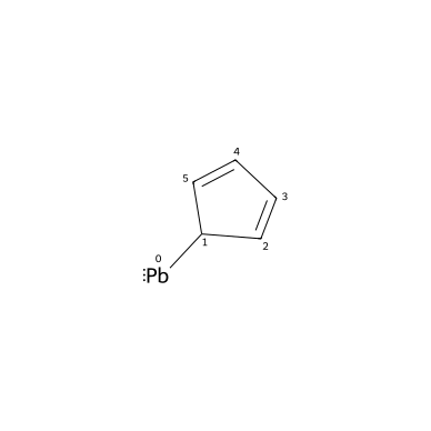 [Pb][CH]1C=CC=C1